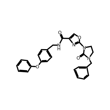 O=C(NCc1ccc(Oc2ccccc2)cc1)c1coc(N2CCN(Cc3ccccc3)C2=O)n1